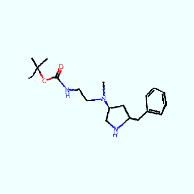 CN(CCNC(=O)OC(C)(C)C)[C@@H]1CNC(Cc2ccccc2)C1